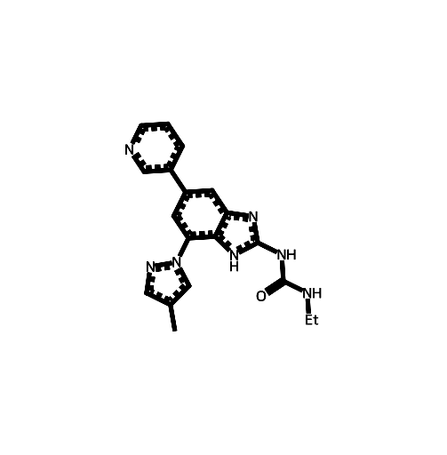 CCNC(=O)Nc1nc2cc(-c3cccnc3)cc(-n3cc(C)cn3)c2[nH]1